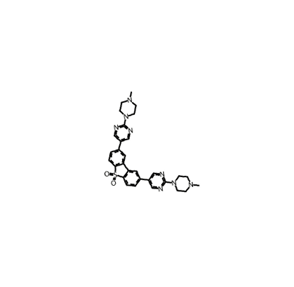 CN1CCN(c2ncc(-c3ccc4c(c3)-c3cc(-c5cnc(N6CCN(C)CC6)nc5)ccc3S4(=O)=O)cn2)CC1